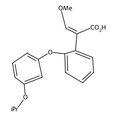 COC=C(C(=O)O)c1ccccc1Oc1cccc(OC(C)C)c1